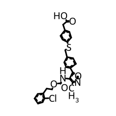 Cc1noc(-c2ccc(CSc3ccc(CC(=O)O)cc3)cc2)c1NC(=O)OCCc1ccccc1Cl